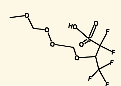 COCOOCOC(C(F)(F)F)C(F)(F)S(=O)(=O)O